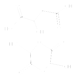 CC1OC(=O)C(C)OC1=O.O=C(O)CC(O)C(=O)O